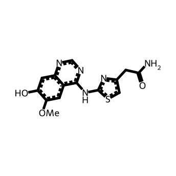 COc1cc2c(Nc3nc(CC(N)=O)cs3)ncnc2cc1O